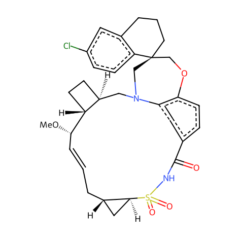 CO[C@H]1/C=C/C[C@H]2C[C@@H]2S(=O)(=O)NC(=O)c2ccc3c(c2)N(C[C@@H]2CC[C@H]21)C[C@@]1(CCCc2cc(Cl)ccc21)CO3